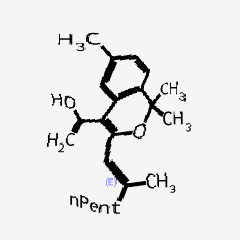 C=C(O)C1=C(/C=C(\C)CCCCC)OC(C)(C)c2ccc(C)cc21